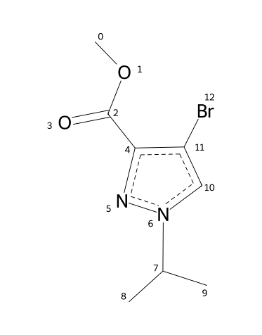 COC(=O)c1nn(C(C)C)cc1Br